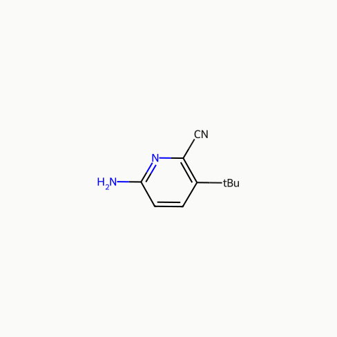 CC(C)(C)c1ccc(N)nc1C#N